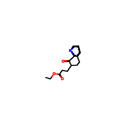 CCOC(=O)CCC1CCc2cccnc2C1=O